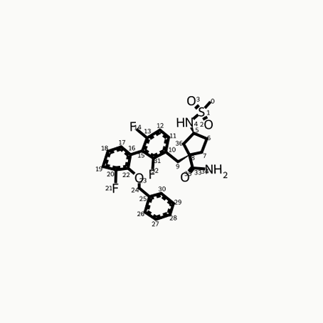 CS(=O)(=O)N[C@H]1CC[C@](Cc2ccc(F)c(-c3cccc(F)c3OCc3ccccc3)c2F)(C(N)=O)C1